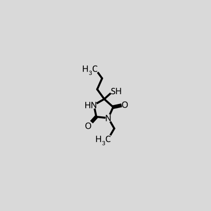 CCCC1(S)NC(=O)N(CC)C1=O